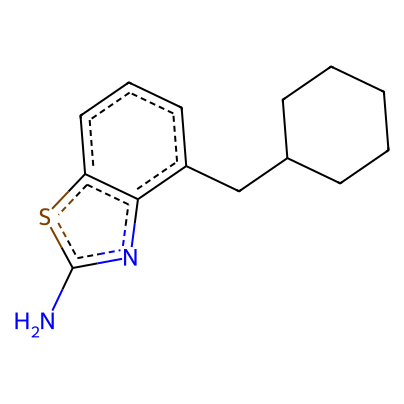 Nc1nc2c(CC3CCCCC3)cccc2s1